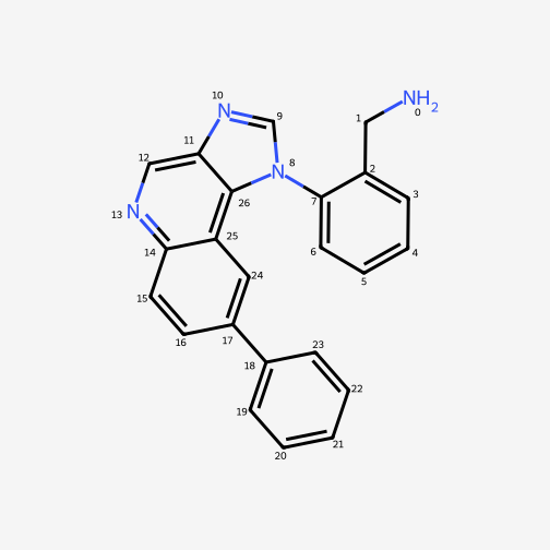 NCc1ccccc1-n1cnc2cnc3ccc(-c4ccccc4)cc3c21